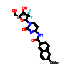 COc1ccc2cc(C(=O)Nc3ccn(C4O[C@H](CO)[C@@H](O)C4(F)F)c(=O)n3)ccc2c1